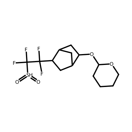 O=[SH](=O)C(F)(F)C(F)(F)C1CC2CC1CC2OC1CCCCO1